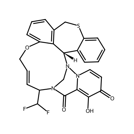 O=C1c2c(O)c(=O)ccn2N2CN1C(C(F)F)/C=C/COc1cccc3c1[C@@H]2c1ccccc1SC3